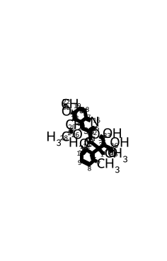 CCC(CC)(c1c(C)cccc1OCc1cnc2ccc(OC)cc2c1OC(C)C)C(C(=O)O)C(=O)O